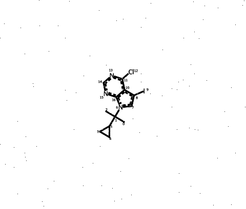 CC(C)(C1CC1)n1cc(I)c2c(Cl)ncnc21